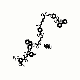 CN(CCN1CCC(OC(=O)Nc2ccccc2-c2ccccc2)CC1)C(=O)CCCCCNc1ccc(C(=O)N(C)CCCCN(C)C(=O)CO[C@H]2Cc3ccccc3C23CCN(CC[C@]2(c4ccc(F)cc4)CN(C(=O)c4cc(C(F)(F)F)cc(C(F)(F)F)c4)CO2)CC3)cc1.Cl.Cl.Cl